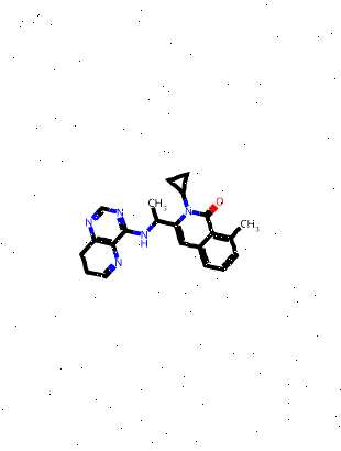 Cc1cccc2cc(C(C)Nc3ncnc4c3N=CCC4)n(C3CC3)c(=O)c12